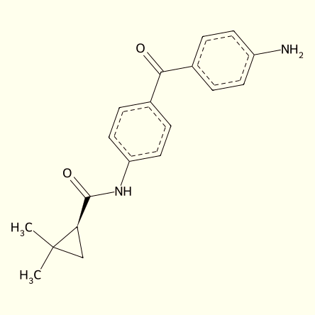 CC1(C)C[C@@H]1C(=O)Nc1ccc(C(=O)c2ccc(N)cc2)cc1